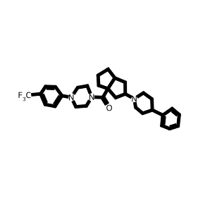 O=C(N1CCN(c2ccc(C(F)(F)F)cc2)CC1)C12CCCC1CC(N1CCC(c3ccccc3)CC1)C2